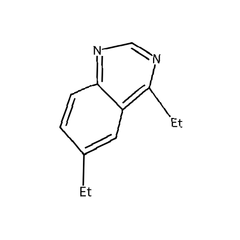 CCc1ccc2ncnc(CC)c2c1